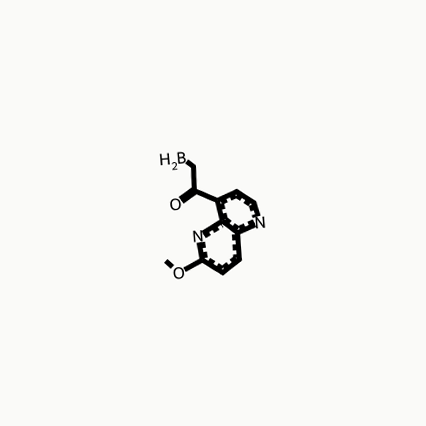 BCC(=O)c1ccnc2ccc(OC)nc12